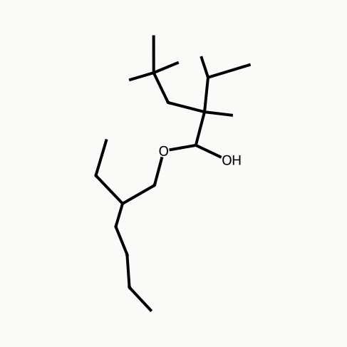 CCCCC(CC)COC(O)C(C)(CC(C)(C)C)C(C)C